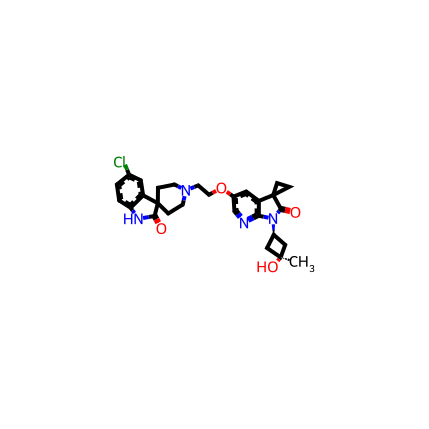 C[C@]1(O)C[C@@H](N2C(=O)C3(CC3)c3cc(OCCN4CCC5(CC4)C(=O)Nc4ccc(Cl)cc45)cnc32)C1